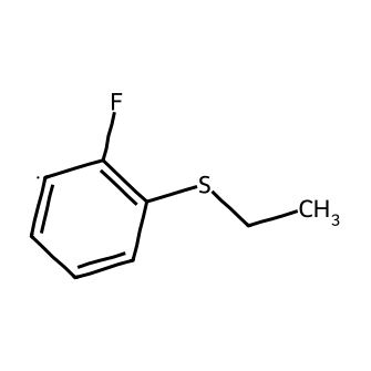 CCSc1ccc[c]c1F